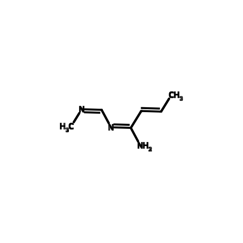 C/C=C/C(N)=N\C=N/C